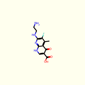 Cc1c(F)c(NCCN)nc2[nH]cc(C(=O)O)c(=O)c12